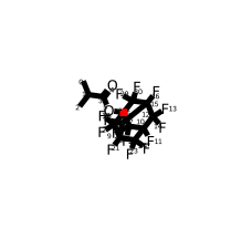 CC(C)C(=O)OC12C(F)(F)C3(F)C(F)(F)C(F)(C(F)(F)C(F)(C3(F)F)C1(F)F)C2(F)F